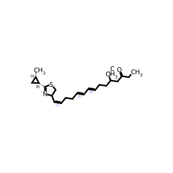 CCC(=O)CC(CC/C=C/C=C/CC/C=C\C1CSC([C@@H]2C[C@@H]2C)=N1)OC